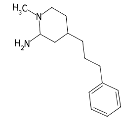 CN1CCC(CCCc2ccccc2)CC1N